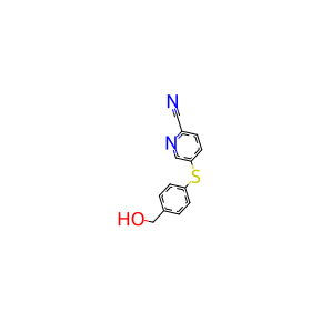 N#Cc1ccc(Sc2ccc(CO)cc2)cn1